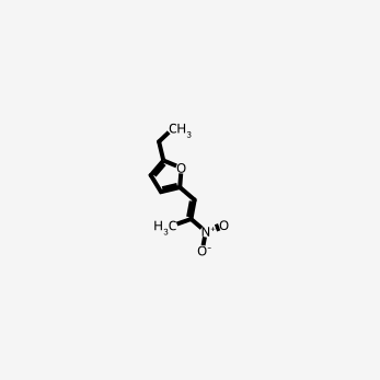 CCc1ccc(/C=C(\C)[N+](=O)[O-])o1